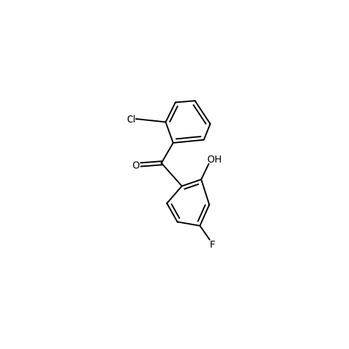 O=C(c1ccc(F)cc1O)c1ccccc1Cl